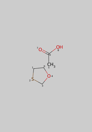 C1CSCO1.CC(=O)O